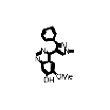 COc1cc2c(-c3cn(C)nc3-c3ccccc3)ncnc2cc1O